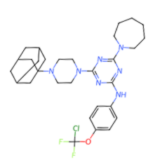 FC(F)(Cl)Oc1ccc(Nc2nc(N3CCCCCC3)nc(N3CCN(C45CC6CC(CC(C6)C4)C5)CC3)n2)cc1